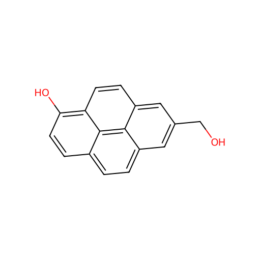 OCc1cc2ccc3ccc(O)c4ccc(c1)c2c34